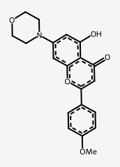 COc1ccc(-c2cc(=O)c3c(O)cc(N4CCOCC4)cc3o2)cc1